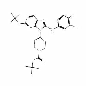 CC(C)(C)Nc1ncc2nc(Nc3ccc(Cl)c(Cl)c3)n(C3CCN(C(=O)OC(C)(C)C)CC3)c2n1